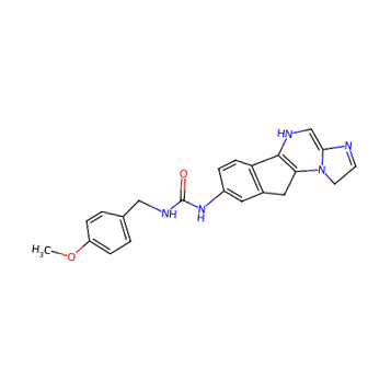 COc1ccc(CNC(=O)Nc2ccc3c(c2)CC2=C3NC=C3N=CCN32)cc1